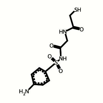 Nc1ccc(S(=O)(=O)NC(=O)CNC(=O)CS)cc1